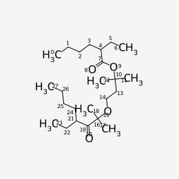 CCCCC(CC)C(=O)OC(C)(C)CCOC(C)(C)C(=O)C(CC)CCCC